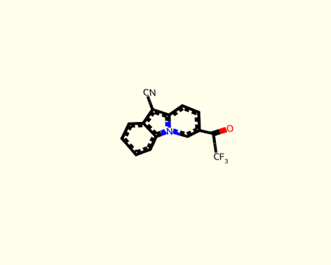 N#Cc1c2ccccc2n2cc(C(=O)C(F)(F)F)ccc12